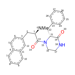 CN[C@H](Cc1ccc2ccccc2c1)C(=O)N1CCNC(=O)[C@H]1Cc1ccccc1